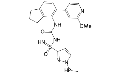 COc1cc(-c2ccc3c(c2NC(=O)NS(=N)(=O)c2ccn(PC)n2)CCC3)ccn1